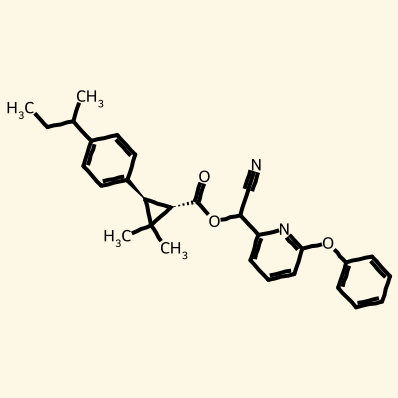 CCC(C)c1ccc([C@H]2[C@H](C(=O)OC(C#N)c3cccc(Oc4ccccc4)n3)C2(C)C)cc1